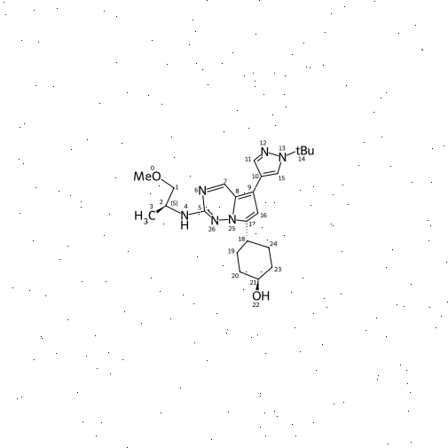 COC[C@H](C)Nc1ncc2c(-c3cnn(C(C)(C)C)c3)cc([C@H]3CC[C@H](O)CC3)n2n1